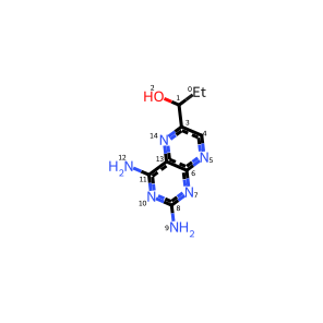 CCC(O)c1cnc2nc(N)nc(N)c2n1